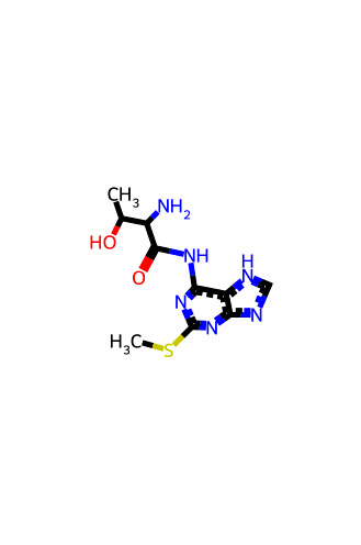 CSc1nc(NC(=O)C(N)C(C)O)c2[nH]cnc2n1